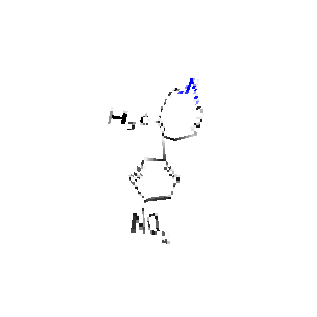 Cc1cnccc1-c1ccc([N+](=O)[O-])cc1